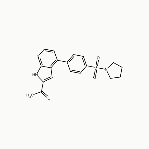 CC(=O)c1cc2c(-c3ccc(S(=O)(=O)N4CCCC4)cc3)ccnc2[nH]1